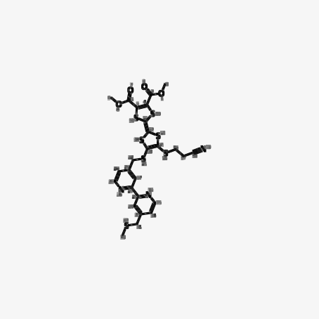 COC(=O)C1=C(C(=O)OC)SC(=C2SC(SCCC#N)=C(SCc3ccnc(-c4cc(CSC)ccn4)c3)S2)S1